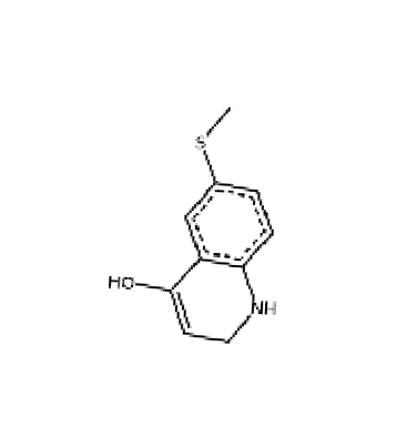 CSc1ccc2c(c1)C(O)=CCN2